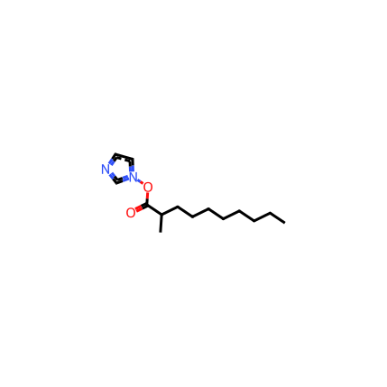 CCCCCCCCC(C)C(=O)On1ccnc1